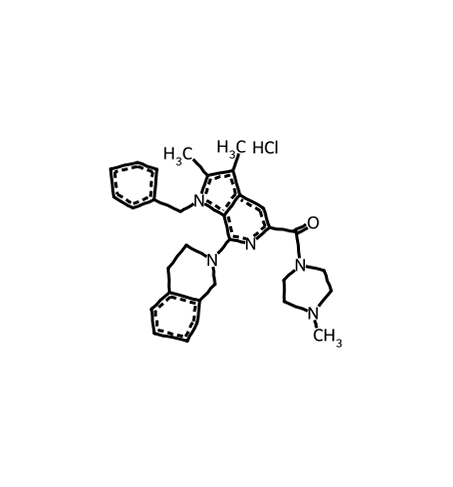 Cc1c(C)n(Cc2ccccc2)c2c(N3CCc4ccccc4C3)nc(C(=O)N3CCN(C)CC3)cc12.Cl